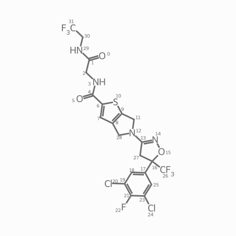 O=C(CNC(=O)c1cc2c(s1)CN(C1=NOC(c3cc(Cl)c(F)c(Cl)c3)(C(F)(F)F)C1)C2)NCC(F)(F)F